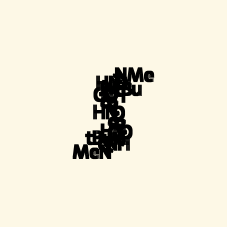 CNC(C)C(=O)NC(C(=O)N1CCCC1C(=O)NC1CCCc2c(NC(=O)c3cccc4c3CCC[C@H]4NC(=O)C3CCCN3C(=O)C(NC(=O)C(C)NC)C(C)(C)C)cccc21)C(C)(C)C